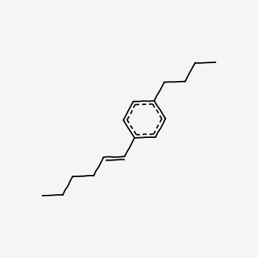 CCCCC=Cc1ccc(CCCC)cc1